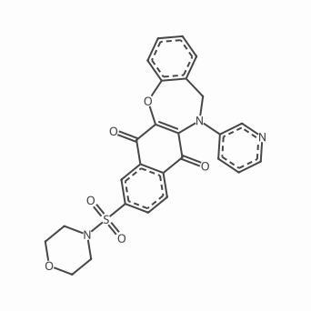 O=C1C2=C(C(=O)c3ccc(S(=O)(=O)N4CCOCC4)cc31)N(c1cccnc1)Cc1ccccc1O2